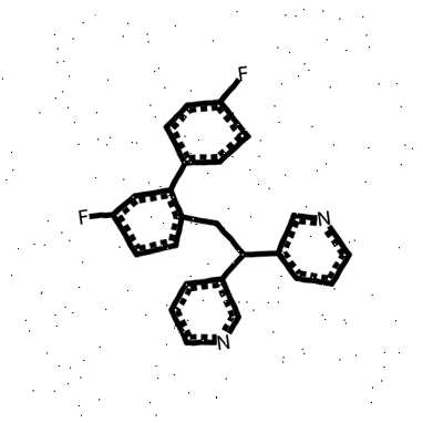 Fc1ccc(-c2cc(F)ccc2CC(c2cccnc2)c2cccnc2)cc1